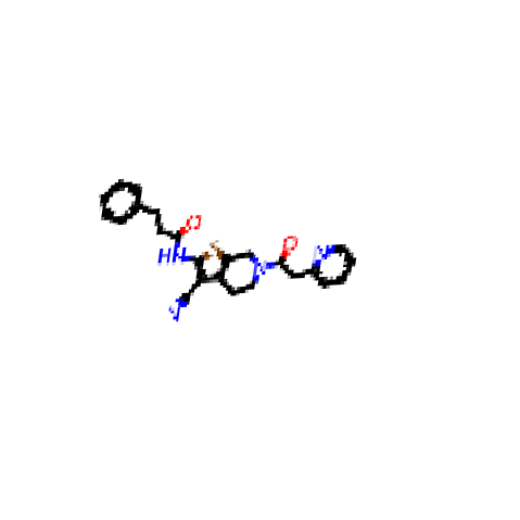 N#Cc1c(NC(=O)CCc2ccccc2)sc2c1CCN(C(=O)Cc1ccccn1)C2